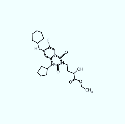 CCOC(=O)C(O)CCn1c(=O)c2cc(F)c(NC3CCCCC3)cc2n(C2CCCC2)c1=O